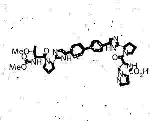 COC(=O)N[C@H](C(=O)N1CCC[C@H]1c1ncc(-c2ccc(-c3ccc(-c4cnc([C@@H]5CCCN5C(=O)[C@H](Cn5cccn5)NC(=O)O)[nH]4)cc3)cc2)[nH]1)[C@@H](C)OC